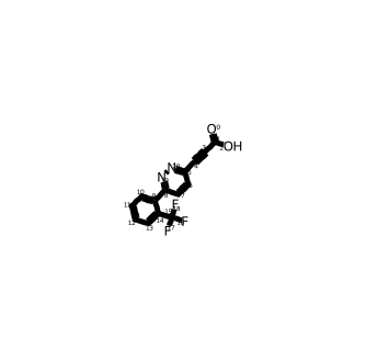 O=C(O)C#Cc1ccc(-c2ccccc2C(F)(F)F)nn1